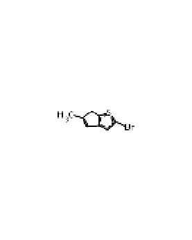 CC1=Cc2cc(Br)sc2C1